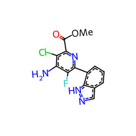 COC(=O)c1nc(-c2cccc3cn[nH]c23)c(F)c(N)c1Cl